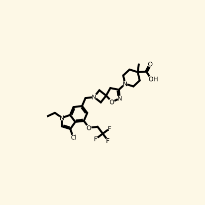 CCn1cc(Cl)c2c(OCC(F)(F)F)cc(CN3CC4(CC(N5CCC(C)(C(=O)O)CC5)=NO4)C3)cc21